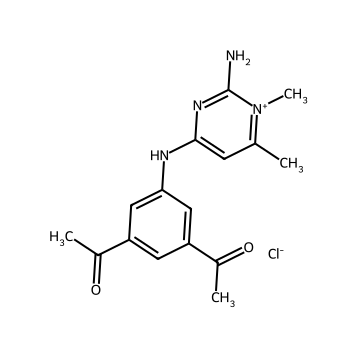 CC(=O)c1cc(Nc2cc(C)[n+](C)c(N)n2)cc(C(C)=O)c1.[Cl-]